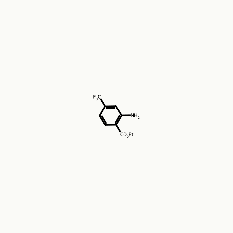 CCOC(=O)c1ccc(C(F)(F)F)cc1N